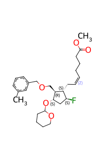 COC(=O)CCC/C=C\C[C@H]1[C@H](COCc2cccc(C)c2)[C@@H](OC2CCCCO2)C[C@@H]1F